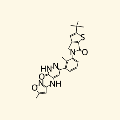 Cc1cc(Nc2cc(-c3cccc(N4Cc5cc(C(C)(C)C)sc5C4=O)c3C)n[nH]c2=O)no1